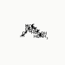 CC(=O)O.CC(=O)O.CC(=O)O.CC(=O)O.CCOCC.N.OCCO